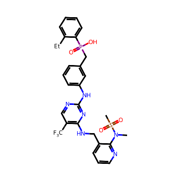 CCc1ccccc1P(=O)(O)Cc1cccc(Nc2ncc(C(F)(F)F)c(NCc3cccnc3N(C)S(C)(=O)=O)n2)c1